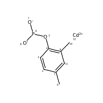 Cc1ccc(OP([O-])[O-])c(C)c1.[Cd+2]